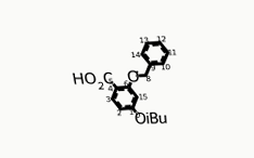 CC(C)COc1ccc(C(=O)O)c(OCc2ccccc2)c1